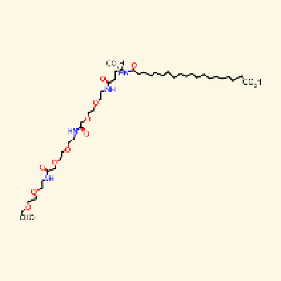 O=CCOCCOCCNC(=O)COCCOCCNC(=O)COCCOCCNC(=O)CC[C@H](NC(=O)CCCCCCCCCCCCCCCCCCC(=O)O)C(=O)O